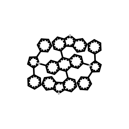 c1ccc(-c2ccc(-c3ccccc3)n2-c2ccc3c(-c4cccc5sc6ccccc6c45)c4cc(-n5c(-c6ccccc6)ccc5-c5ccccc5)ccc4c(-c4cccc5sc6ccccc6c45)c3c2)cc1